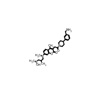 CB(O)CC(C)CN(C)c1ccc2c(C)c(CC(=O)N3CCC(c4cccc(CN)c4)CC3)c(=O)oc2c1